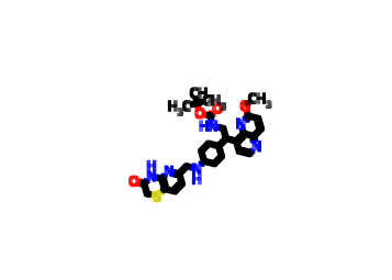 COc1ccc2nccc(C(CNC(=O)OC(C)(C)C)C3CCC(NCc4ccc5c(n4)NC(=O)CS5)CC3)c2n1